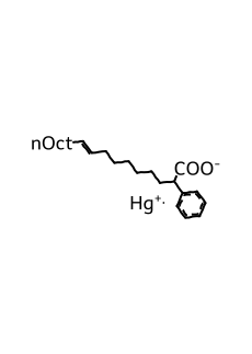 CCCCCCCCC=CCCCCCCC(C(=O)[O-])c1ccccc1.[Hg+]